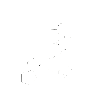 CCC[C@@H](/C=C/C(=O)N1CCc2ccccc21)NC(=O)[C@@H](N)CC.O=C(O)C(F)(F)F